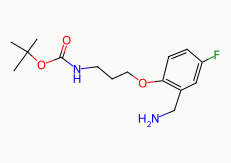 CC(C)(C)OC(=O)NCCCOc1ccc(F)cc1CN